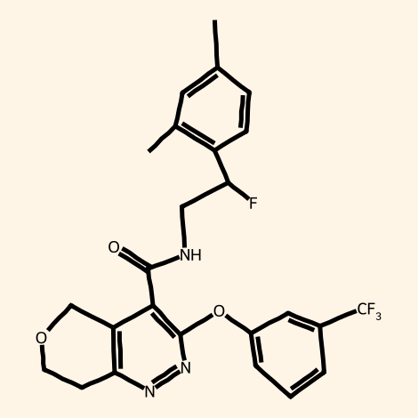 Cc1ccc(C(F)CNC(=O)c2c(Oc3cccc(C(F)(F)F)c3)nnc3c2COCC3)c(C)c1